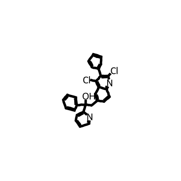 OC(Cc1ccc2nc(Cl)c(-c3ccccc3)c(Cl)c2c1)(c1ccccc1)c1ccccn1